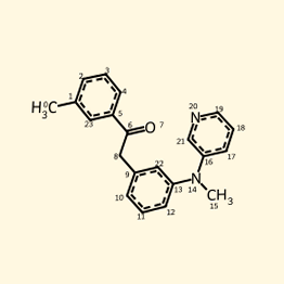 Cc1cccc(C(=O)Cc2cccc(N(C)c3cccnc3)c2)c1